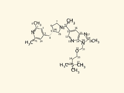 Cc1cc(C[C@@H]2CCN(C(C)c3cnc4c(c3)nc(C)n4COCCS(C)(C)C)C2)cc(C)n1